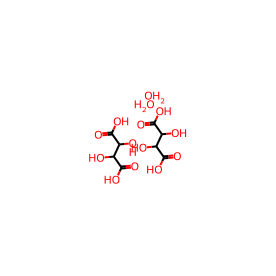 O.O.O=C(O)C(O)C(O)C(=O)O.O=C(O)C(O)C(O)C(=O)O